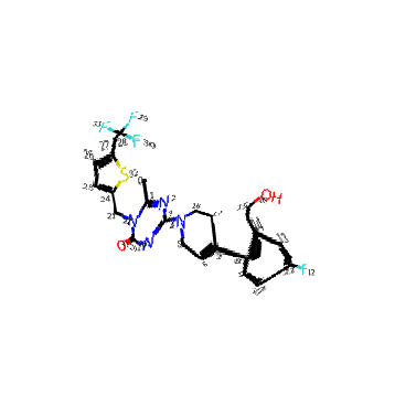 Cc1nc(N2CC=C(c3ccc(F)cc3CO)CC2)nc(=O)n1Cc1ccc(C(F)(F)F)s1